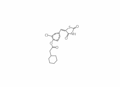 O=C(CC1CCCCC1)Oc1ccc(C=C2SC(=O)NC2=O)cc1Cl